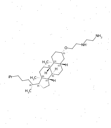 CC(C)CCC[C@@H](C)[C@H]1CC[C@H]2[C@@H]3CC[C@H]4C[C@@H](OCCNCCN)CC[C@]4(C)[C@H]3CC[C@]12C